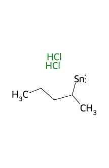 CCC[CH](C)[Sn].Cl.Cl